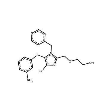 CC(C)c1nc(COCCO)n(Cc2ccncc2)c1Sc1cccc([N+](=O)[O-])c1